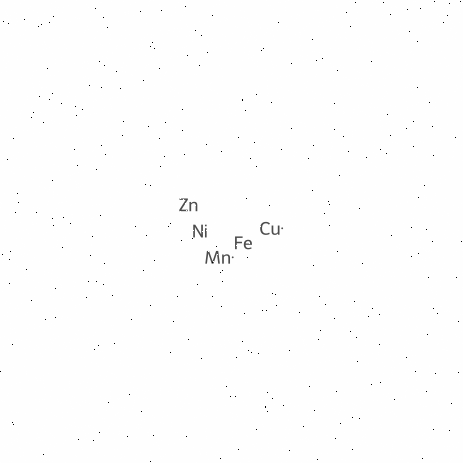 [Cu].[Fe].[Mn].[Ni].[Zn]